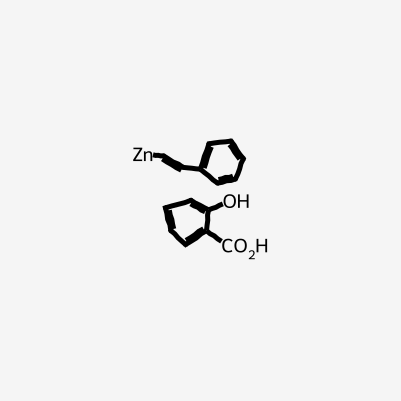 O=C(O)c1ccccc1O.[Zn][CH]=Cc1ccccc1